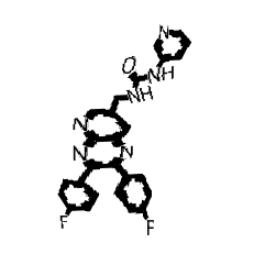 O=C(NCc1cnc2nc(-c3ccc(F)cc3)c(-c3ccc(F)cc3)nc2c1)Nc1cccnc1